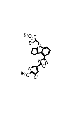 CCOC(=O)C(CC)Cn1c2c(c3c(-c4noc(-c5cnc(OC(C)C)c(Cl)c5)n4)cccc31)CCC2